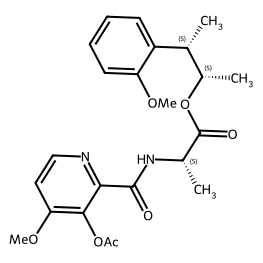 COc1ccccc1[C@H](C)[C@H](C)OC(=O)[C@H](C)NC(=O)c1nccc(OC)c1OC(C)=O